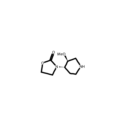 CO[C@H]1CNCC[C@@H]1N1CCOC1=O